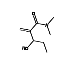 C=C(C(=O)N(C)C)C(O)CC